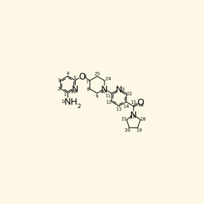 Nc1cccc(OC2CCN(c3ccc(C(=O)N4CCCC4)cn3)CC2)n1